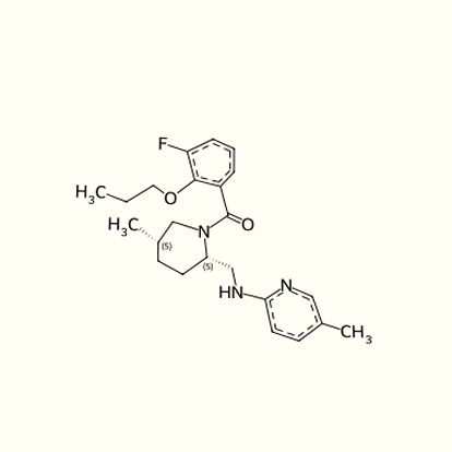 CCCOc1c(F)cccc1C(=O)N1C[C@@H](C)CC[C@H]1CNc1ccc(C)cn1